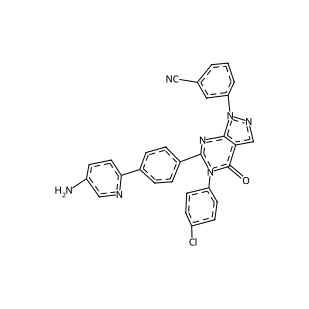 N#Cc1cccc(-n2ncc3c(=O)n(-c4ccc(Cl)cc4)c(-c4ccc(-c5ccc(N)cn5)cc4)nc32)c1